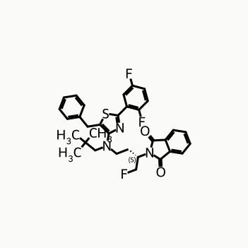 CC(C)(C)CN(CC[C@@H](CF)N1C(=O)c2ccccc2C1=O)c1nc(-c2cc(F)ccc2F)sc1Cc1ccccc1